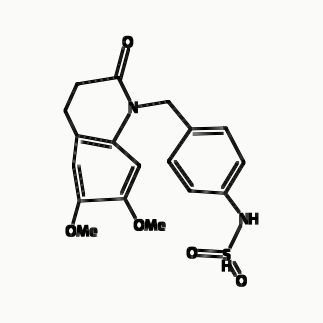 COc1cc2c(cc1OC)N(Cc1ccc(N[SH](=O)=O)cc1)C(=O)CC2